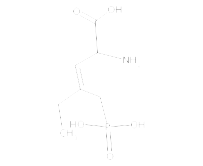 CCC(=CC(N)C(=O)O)CP(=O)(O)O